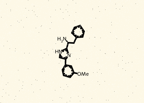 COc1cccc(-c2c[nH]c([C@@H](N)Cc3ccccc3)n2)c1